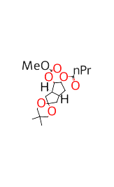 CCCC(=O)O[C@@H]1C[C@H]2CC3(C[C@H]2[C@H]1OC(=O)OC)OCC(C)(C)CO3